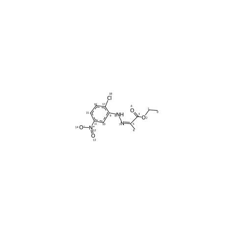 CCOC(=O)/C(C)=N\Nc1cc([N+](=O)[O-])ccc1Cl